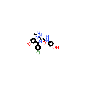 COc1ccc2c(c1)C(c1ccc(Cl)cc1)=N[C@H](CC(=O)Nc1ccc(O)cc1)c1nnc(C)n1-2